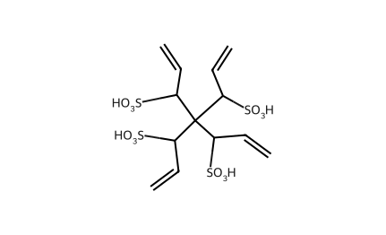 C=CC(C(C(C=C)S(=O)(=O)O)(C(C=C)S(=O)(=O)O)C(C=C)S(=O)(=O)O)S(=O)(=O)O